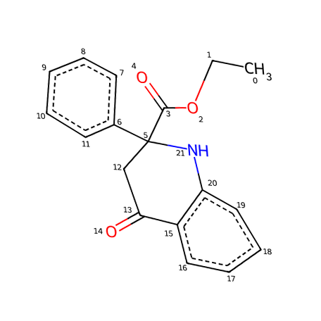 CCOC(=O)C1(c2ccccc2)CC(=O)c2ccccc2N1